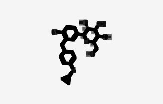 OC[C@H]1O[C@@H](c2ccc(Cl)c(Cc3ccc(SC4CC4)cc3)c2)[C@H](O)[C@@H](O)C1O